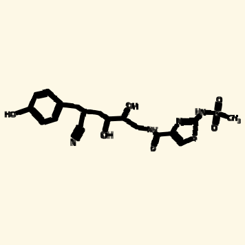 CS(=O)(=O)Nc1nc(C(=O)NCC(O)C(O)CC(C#N)Cc2ccc(O)cc2)cs1